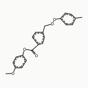 COc1ccc(OC(=O)c2ccc(COOc3ccc(C)cc3)cc2)cc1